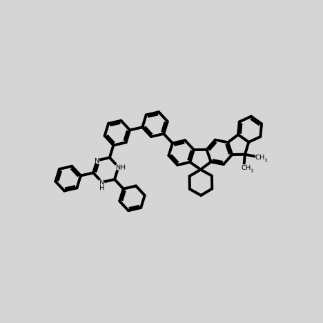 CC1(C)c2cc3c(cc2C2=CC=CCC21)-c1cc(-c2cccc(-c4cccc(C5N=C(c6ccccc6)NC(C6=CC=CCC6)N5)c4)c2)ccc1C31CCCCC1